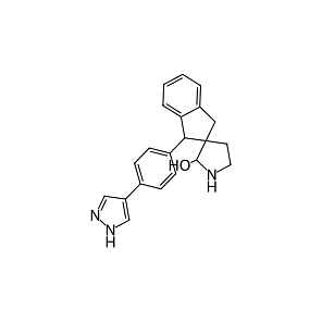 OC1NCCC12Cc1ccccc1C2c1ccc(-c2cn[nH]c2)cc1